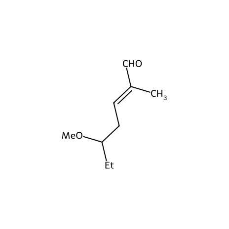 CCC(C/C=C(\C)C=O)OC